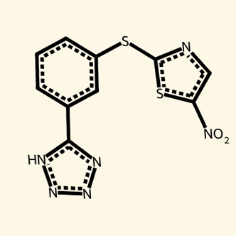 O=[N+]([O-])c1cnc(Sc2cccc(-c3nnn[nH]3)c2)s1